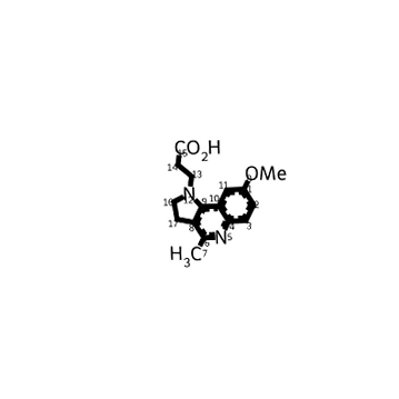 COc1ccc2nc(C)c3c(c2c1)N(CCC(=O)O)CC3